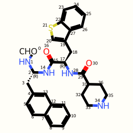 O=CN[C@@H](Cc1ccc2ccccc2c1)NC(=O)[C@@H](Cc1csc2ccccc12)NC(=O)C1CCNCC1